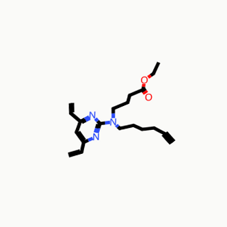 C#CCCCCN(CCCC(=O)OCC)c1nc(C=C)cc(C=C)n1